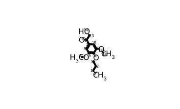 CCCCOc1c(OC)cc(C(=O)CO)cc1OC